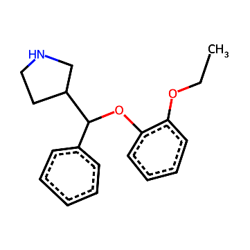 CCOc1ccccc1OC(c1ccccc1)C1CCNC1